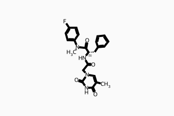 Cc1cn(CC(=O)N[C@@H](Cc2ccccc2)C(=O)N(C)c2ccc(F)cc2)c(=O)[nH]c1=O